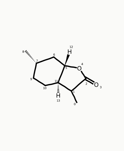 CC1C(=O)O[C@H]2C[C@@H](C)CC[C@H]12